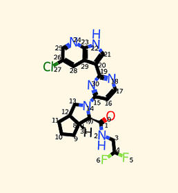 O=C(NCC(F)F)[C@H]1[C@@H]2CCCC2CN1c1ccnc(-c2c[nH]c3ncc(Cl)cc23)n1